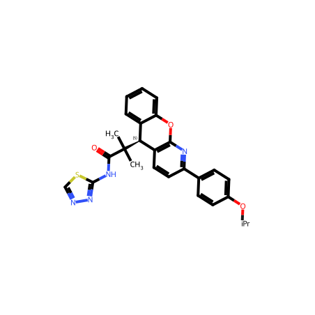 CC(C)Oc1ccc(-c2ccc3c(n2)Oc2ccccc2[C@@H]3C(C)(C)C(=O)Nc2nncs2)cc1